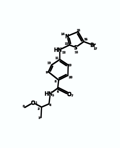 COC(C)CNC(=O)c1ccc(Nc2ncc(Br)s2)cc1